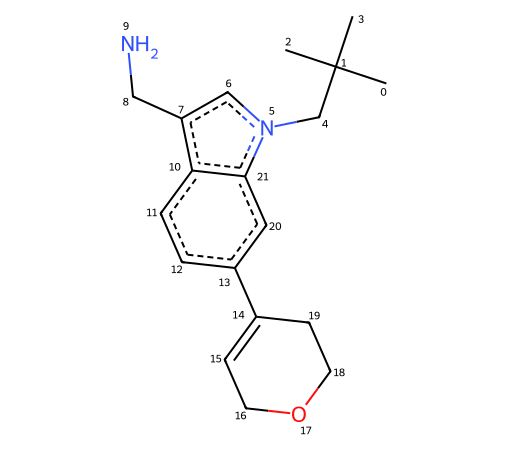 CC(C)(C)Cn1cc(CN)c2ccc(C3=CCOCC3)cc21